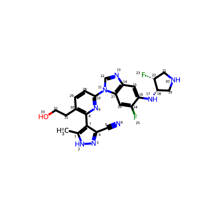 Cc1[nH]nc(C#N)c1-c1nc(-n2cnc3cc(N[C@H]4CNC[C@H]4F)c(F)cc32)ccc1CCO